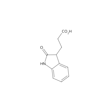 O=C(O)CCC1C(=O)Nc2ccccc21